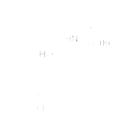 CC(C)(C)OC(=O)NC1CCCC(O)(C#Cc2cccc(Cl)c2)C1